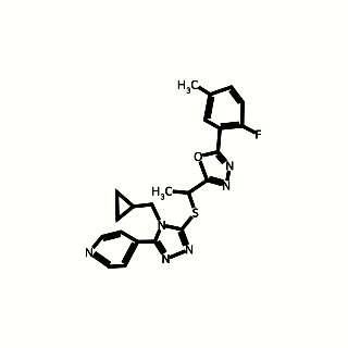 Cc1ccc(F)c(-c2nnc(C(C)Sc3nnc(-c4ccncc4)n3CC3CC3)o2)c1